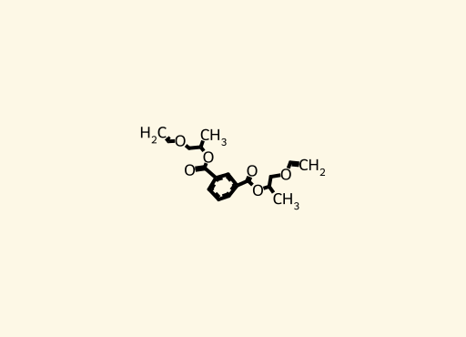 C=COCC(C)OC(=O)c1cccc(C(=O)OC(C)COC=C)c1